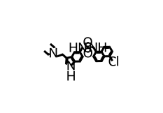 CCN(CC)CCc1c[nH]c2ccc(NS(=O)(=O)Nc3cccc4c(Cl)cccc34)cc12